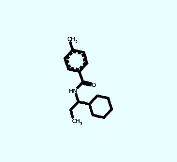 [CH2]c1ccc(C(=O)NC(CC)C2CCCCC2)cc1